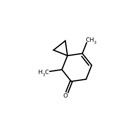 CC1=CCC(=O)C(C)C12CC2